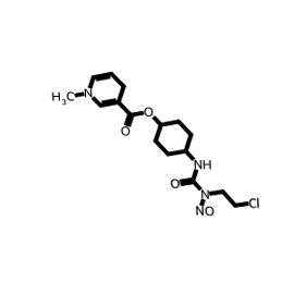 CN1C=CCC(C(=O)OC2CCC(NC(=O)N(CCCl)N=O)CC2)=C1